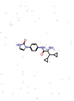 N[C@H](C(=O)Nc1ccc(-n2cc[nH]c2=O)cc1)C(C1CC1)C1CC1